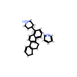 C1=CC2=C(CC1)CCc1c2ccc2c(C3CCNCC3)cccc12.c1ccncc1